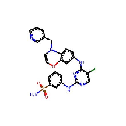 NS(=O)(=O)c1cccc(Nc2ncc(F)c(Nc3ccc4c(c3)OC=CN4Cc3cccnc3)n2)c1